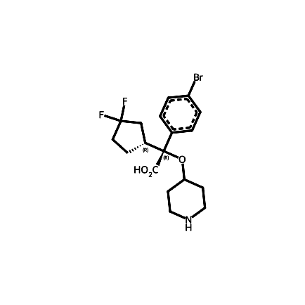 O=C(O)[C@](OC1CCNCC1)(c1ccc(Br)cc1)[C@@H]1CCC(F)(F)C1